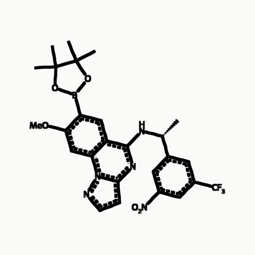 COc1cc2c(cc1B1OC(C)(C)C(C)(C)O1)c(N[C@H](C)c1cc([N+](=O)[O-])cc(C(F)(F)F)c1)nc1ccnn12